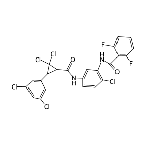 O=C(Nc1cc(NC(=O)C2C(c3cc(Cl)cc(Cl)c3)C2(Cl)Cl)ccc1Cl)c1c(F)cccc1F